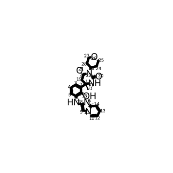 C[C@@]1(c2cccc(Nc3cn4ccccc4n3)c2O)CC(=O)N(C2CCOCC2)C(=O)N1